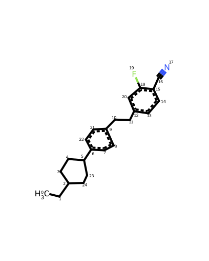 CCC1CCC(c2ccc(CCc3ccc(C#N)c(F)c3)cc2)CC1